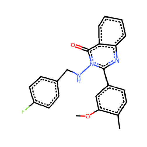 COc1cc(-c2nc3ccccc3c(=O)n2NCc2ccc(F)cc2)ccc1C